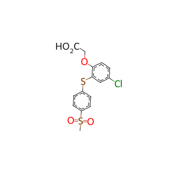 CS(=O)(=O)c1ccc(Sc2cc(Cl)ccc2OCC(=O)O)cc1